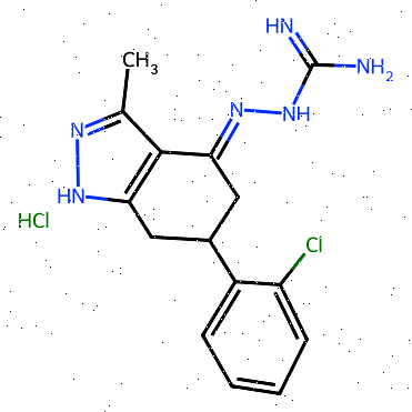 Cc1n[nH]c2c1C(=NNC(=N)N)CC(c1ccccc1Cl)C2.Cl